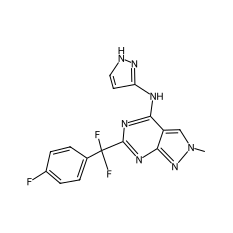 Cn1cc2c(Nc3cc[nH]n3)nc(C(F)(F)c3ccc(F)cc3)nc2n1